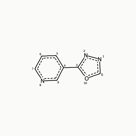 [c]1nnc(-c2cccnc2)o1